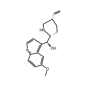 C=C[C@@H]1CC[C@H]([C@@H](O)c2ccnc3ccc(OC)cc23)NC1